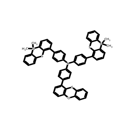 C[Si]1(C)c2ccccc2Sc2c(-c3ccc(N(c4ccc(-c5cccc6c5Sc5ccccc5O6)cc4)c4ccc(-c5cccc6c5Sc5ccccc5[Si]6(C)C)cc4)cc3)cccc21